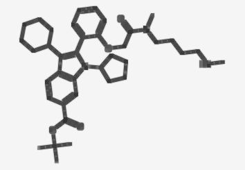 CNCCCCN(C)C(=O)COc1ccccc1-c1c(C2CCCCC2)c2ccc(C(=O)OC(C)(C)C)cc2n1C1CCCC1